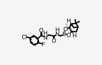 CC1(C)C2C[C@H]3OB(CNC(=O)CNC(=O)c4cc(Cl)ccc4F)O[C@@]3(C)[C@H]1C2